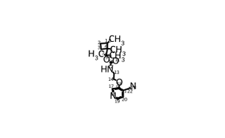 CC1CCC1(C)C(C)(C)OC(=O)NCCOc1cnccc1C#N